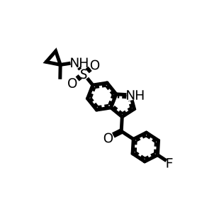 CC1(NS(=O)(=O)c2ccc3c(C(=O)c4ccc(F)cc4)c[nH]c3c2)CC1